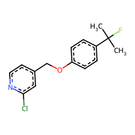 CC(C)(F)c1ccc(OCc2ccnc(Cl)c2)cc1